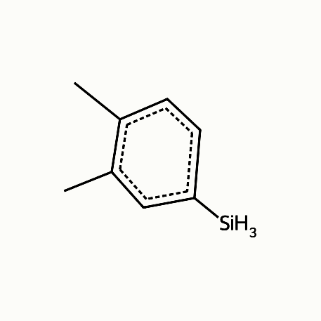 Cc1ccc([SiH3])cc1C